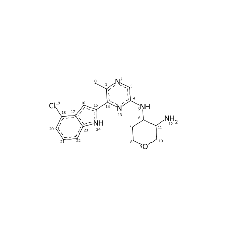 Cc1ncc(NC2CCOCC2N)nc1-c1cc2c(Cl)cccc2[nH]1